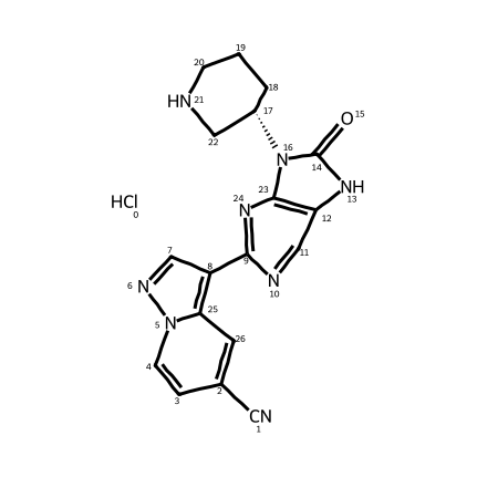 Cl.N#Cc1ccn2ncc(-c3ncc4[nH]c(=O)n([C@H]5CCCNC5)c4n3)c2c1